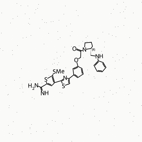 CSc1sc(C(=N)N)cc1-c1nc(-c2cccc(OCC(=O)N3CCC[C@@H]3CNc3ccccc3)c2)cs1